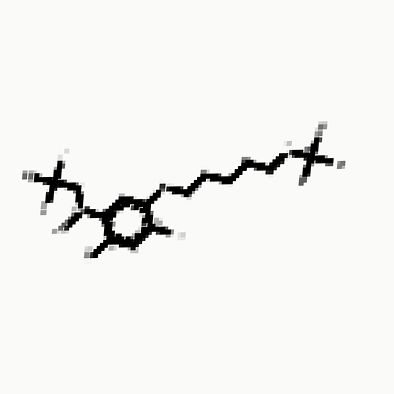 [O-][S+](CC(F)(F)F)c1cc(OCCCCCSC(F)(F)F)c(F)cc1Cl